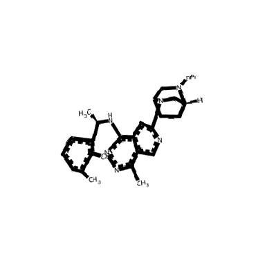 CCCN1CC2CC[C@@H]1CN2c1cc2c(N[C@H](C)c3cccc(C)c3C)nnc(C)c2cn1